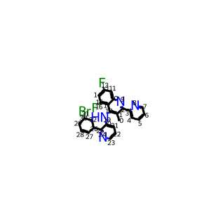 Cc1c(-c2ccccn2)nc2cc(F)cc(F)c2c1Nc1cccnc1C1C=CCC(Br)C1